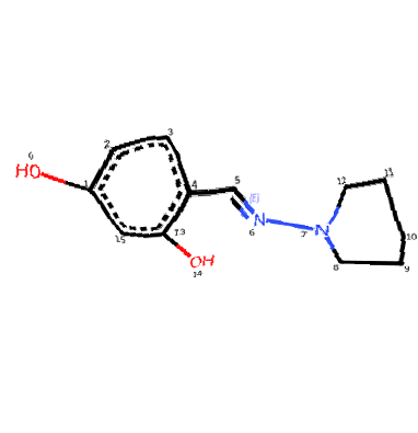 Oc1ccc(/C=N/N2CCCCC2)c(O)c1